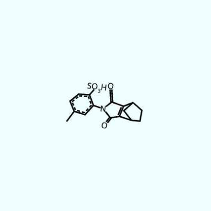 Cc1ccc(S(=O)(=O)O)c(N2C(=O)C3=C(C2=O)C2CCC3C2)c1